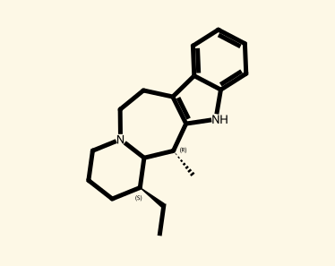 CC[C@H]1CCCN2CCc3c([nH]c4ccccc34)[C@H](C)C12